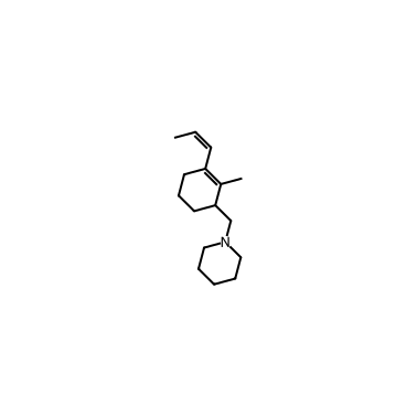 C/C=C\C1=C(C)C(CN2CCCCC2)CCC1